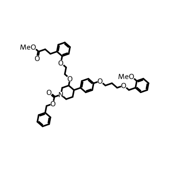 COC(=O)CCc1ccccc1OCCOC1CN(C(=O)OCc2ccccc2)CCC1c1ccc(OCCCOCc2ccccc2OC)cc1